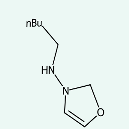 CCCCCNN1C=COC1